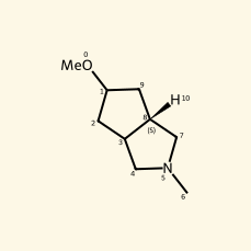 COC1CC2CN(C)C[C@H]2C1